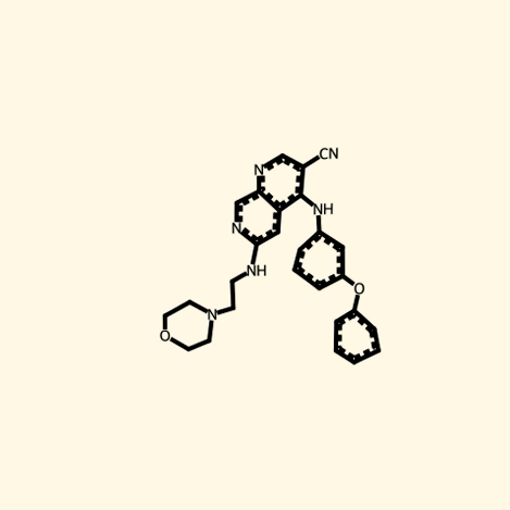 N#Cc1cnc2cnc(NCCN3CCOCC3)cc2c1Nc1cccc(Oc2ccccc2)c1